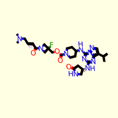 CC(C)c1cnn2c(NC3CCN(C(=O)OCC4(F)CN(C(=O)/C=C/CN(C)C)C4)CC3)nc(N[C@@H]3CNC(=O)C3)nc12